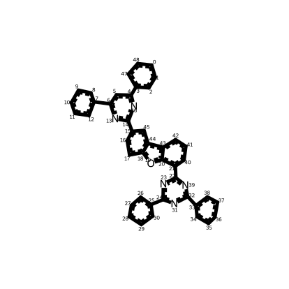 c1ccc(-c2cc(-c3ccccc3)nc(-c3ccc4oc5c(-c6nc(-c7ccccc7)nc(-c7ccccc7)n6)cccc5c4c3)n2)cc1